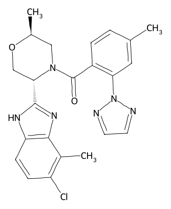 Cc1ccc(C(=O)N2C[C@H](C)OC[C@H]2c2nc3c(C)c(Cl)ccc3[nH]2)c(-n2nccn2)c1